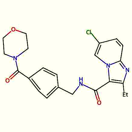 CCc1nc2ccc(Cl)cn2c1C(=O)NCc1ccc(C(=O)N2CCOCC2)cc1